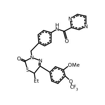 CCC1SC(=O)N(Cc2ccc(NC(=O)c3cnccn3)cc2)N=C1c1ccc(OC(F)(F)F)c(OC)c1